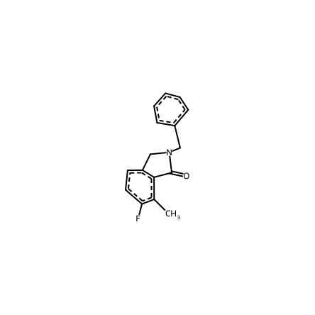 Cc1c(F)ccc2c1C(=O)N(Cc1ccccc1)C2